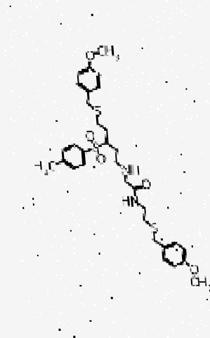 COc1ccc(CSCCNC(=O)CNCCC(CCSCc2ccc(OC)cc2)S(=O)(=O)c2ccc(C)cc2)cc1